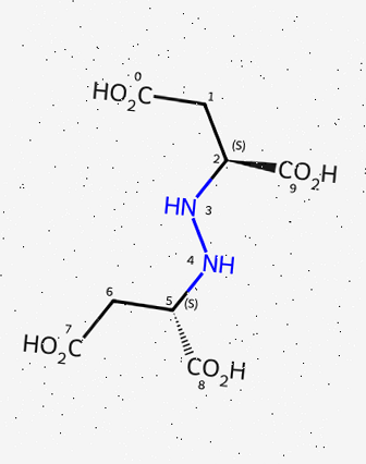 O=C(O)C[C@H](NN[C@@H](CC(=O)O)C(=O)O)C(=O)O